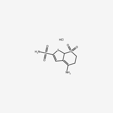 Cl.NC1=C2C=C(S(N)(=O)=O)SC2S(=O)(=O)CC1